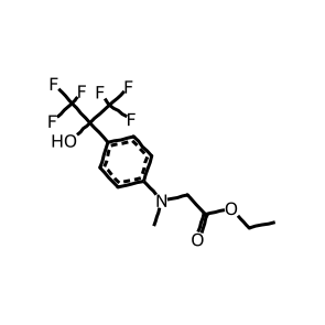 CCOC(=O)CN(C)c1ccc(C(O)(C(F)(F)F)C(F)(F)F)cc1